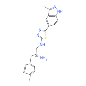 Cc1ccc(C[C@@H](N)CNc2nnc(-c3ccc4[nH]nc(C)c4c3)s2)cc1